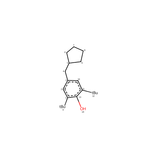 CC(C)(C)c1cc(CC2CCCC2)cc(C(C)(C)C)c1O